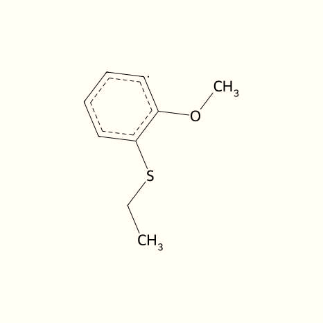 CCSc1ccc[c]c1OC